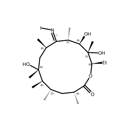 CC[C@H]1OC(=O)[C@H](C)C[C@H](C)[C@@H](C)[C@](C)(O)C[C@@H](C)/C(=N\I)[C@H](C)[C@@H](O)[C@]1(C)O